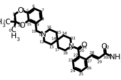 CC1(C)COc2cccc(CN3CCC4(CC3)CCN(C(=O)c3ccccc3/C=C/C(N)=O)CC4)c2O1